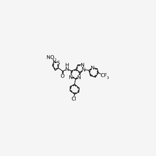 O=C(Nc1nc(-c2ccc(Cl)cc2)nc2c1cnn2-c1ccc(C(F)(F)F)cn1)c1ccc([N+](=O)[O-])s1